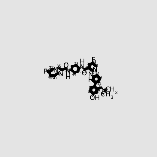 CN(C)Cc1cc(O)ccc1-c1cccc(Nc2ncc(F)cc2C(=O)N[C@H]2CC[C@@H](NC(=O)C3CN4C=C(F)C=CC4=N3)CC2)c1